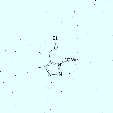 [CH2]c1nnn(OC)c1COCC